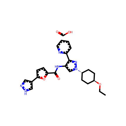 CCO[C@H]1CC[C@H](n2cc(NC(=O)c3ccc(-c4cn[nH]c4)o3)c(-c3ccccn3)n2)CC1.O=CO